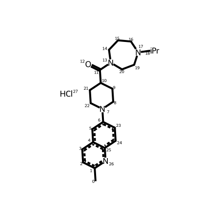 Cc1ccc2cc(N3CCC(C(=O)N4CCCN(C(C)C)CC4)CC3)ccc2n1.Cl